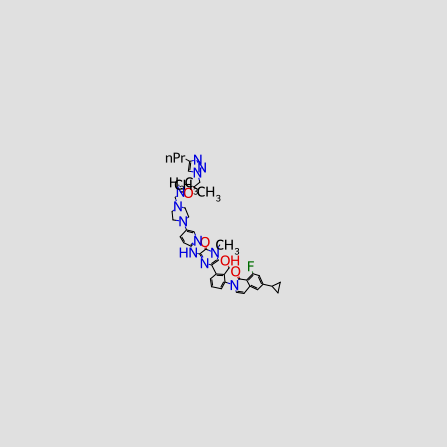 CCCc1cn(CC(C)(C)ON(C)CN2CCN(c3ccc(Nc4nc(-c5cccc(-n6ccc7cc(C8CC8)cc(F)c7c6=O)c5CO)cn(C)c4=O)nc3)CC2)nn1